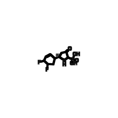 O=C1C[C@H](C2C=CC(F)C(F)C2)NC1P(=O)(O)O